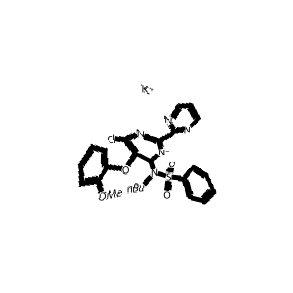 CCCCN(C1[N-]C(c2ncccn2)=NC(Cl)=C1Oc1ccccc1OC)S(=O)(=O)c1ccccc1.[K+]